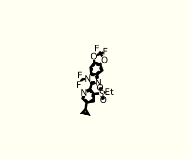 CCS(=O)(=O)c1cc(C2CC2)cnc1-c1nc2cc3c(cc2n1C(F)F)OC(F)(F)O3